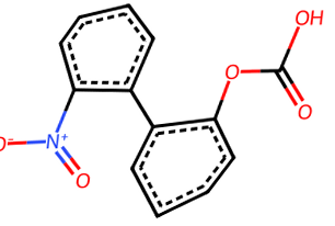 O=C(O)Oc1ccccc1-c1ccccc1[N+](=O)[O-]